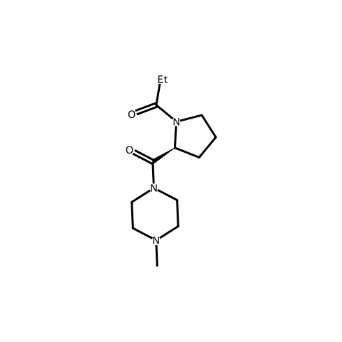 CCC(=O)N1CCC[C@H]1C(=O)N1CCN(C)CC1